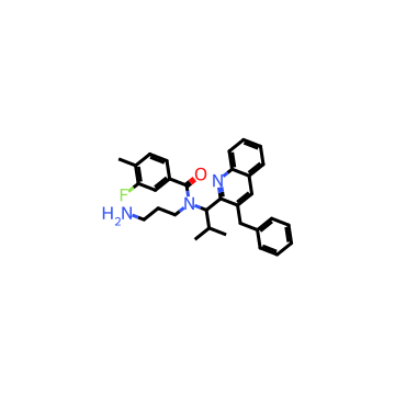 Cc1ccc(C(=O)N(CCCN)C(c2nc3ccccc3cc2Cc2ccccc2)C(C)C)cc1F